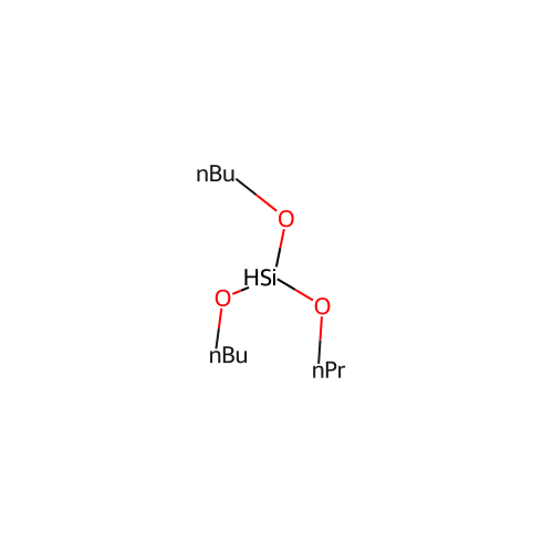 CCCCO[SiH](OCCC)OCCCC